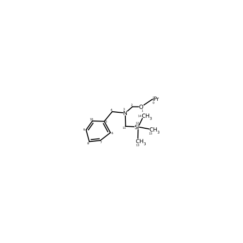 CC(C)OCN(Cc1ccccc1)C[Si](C)(C)C